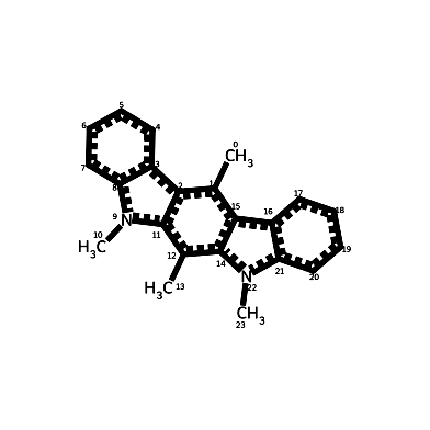 Cc1c2c3ccccc3n(C)c2c(C)c2c1c1ccccc1n2C